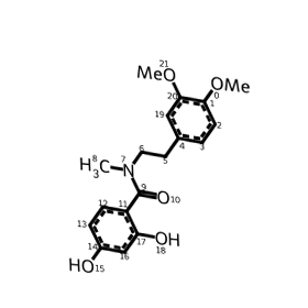 COc1ccc(CCN(C)C(=O)c2ccc(O)cc2O)cc1OC